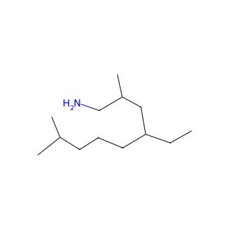 CCC(CCCC(C)C)CC(C)CN